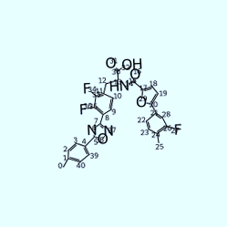 Cc1ccc(-c2nc(-c3ccc(CC(NC(=O)c4ccc(-c5ccc(C)c(F)c5)o4)C(=O)O)c(F)c3F)no2)cc1